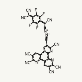 N#CC(C#N)=c1c(F)c(F)c(=C(C#N)C#[N+][N+]#Cc2cc3c4cc(C#N)c(C#N)nc4c4cc(C#N)c(C#N)nc4c3nc2C#N)c(F)c1F